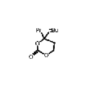 CC(C)C1(C(C)(C)C)CCOC(=O)O1